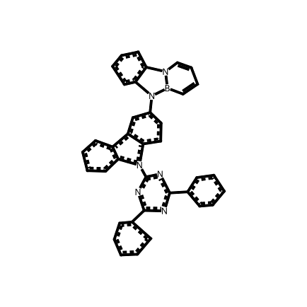 C1=CB2N(C=C1)c1ccccc1N2c1ccc2c(c1)c1ccccc1n2-c1nc(-c2ccccc2)nc(-c2ccccc2)n1